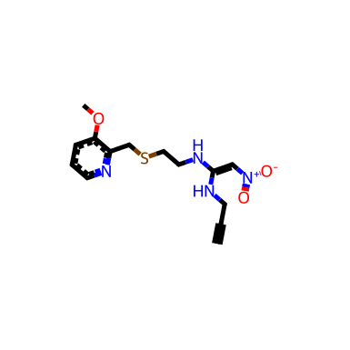 C#CCNC(=C[N+](=O)[O-])NCCSCc1ncccc1OC